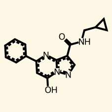 O=C(NCC1CC1)c1cnn2c(O)cc(-c3ccccc3)nc12